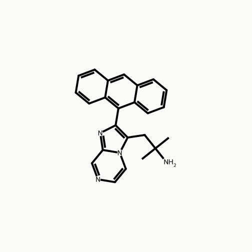 CC(C)(N)Cc1c(-c2c3ccccc3cc3ccccc23)nc2cnccn12